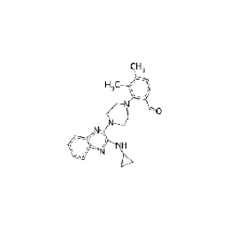 Cc1ccc(C=O)c(N2CCN(c3nc4ccccc4nc3NC3CC3)CC2)c1C